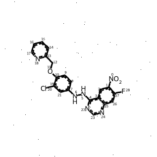 O=[N+]([O-])c1cc2c(NNc3ccc(OCc4ccccn4)c(Cl)c3)ncnc2cc1F